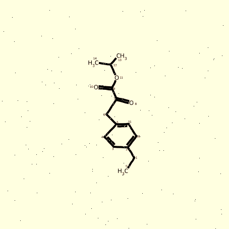 CCc1ccc(CC(=O)C(=O)OC(C)C)cc1